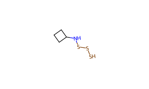 SSSNC1CCC1